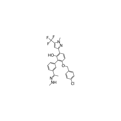 CN/N=C(\C)c1cccc(-c2c(OCc3ccc(Cl)cc3)ccc(-c3cc(C(F)(F)F)n(C)n3)c2O)c1